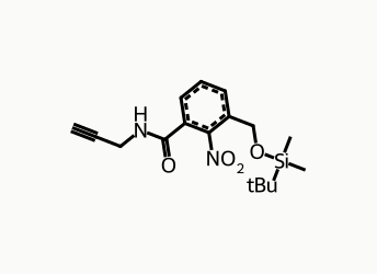 C#CCNC(=O)c1cccc(CO[Si](C)(C)C(C)(C)C)c1[N+](=O)[O-]